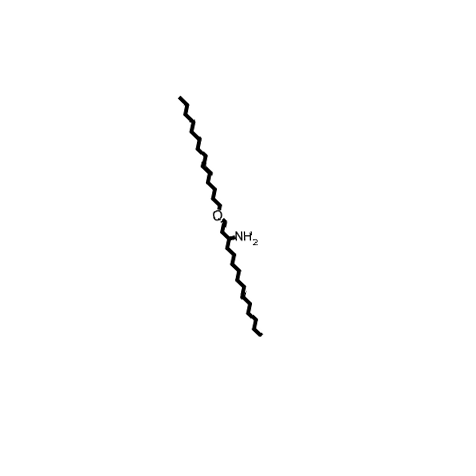 CCCCCCCCCCCCCCOCCC(N)CCCCCCCCCCCC